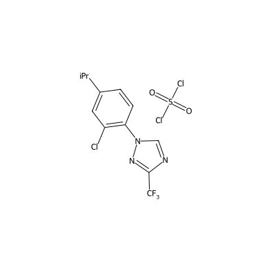 CC(C)c1ccc(-n2cnc(C(F)(F)F)n2)c(Cl)c1.O=S(=O)(Cl)Cl